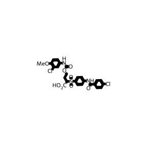 COc1ccc(NC(=O)OCCC(C(=O)O)S(=O)(=O)c2ccc(NC(=O)c3ccc(Cl)cc3)cc2)cc1Cl